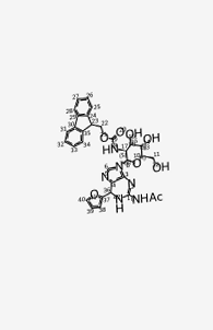 CC(=O)NC1=Nc2c(ncn2[C@@H]2O[C@H](CO)[C@@H](O)[C@H](O)[C@@H]2NC(=O)OCC2c3ccccc3-c3ccccc32)C(c2ccco2)N1